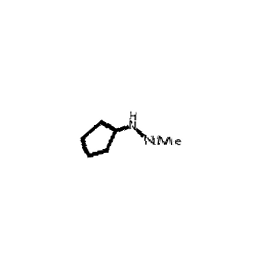 CNNC1CCCC1